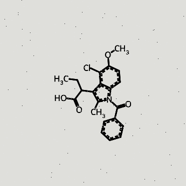 CCC(C(=O)O)c1c(C)n(C(=O)c2ccccc2)c2ccc(OC)c(Cl)c12